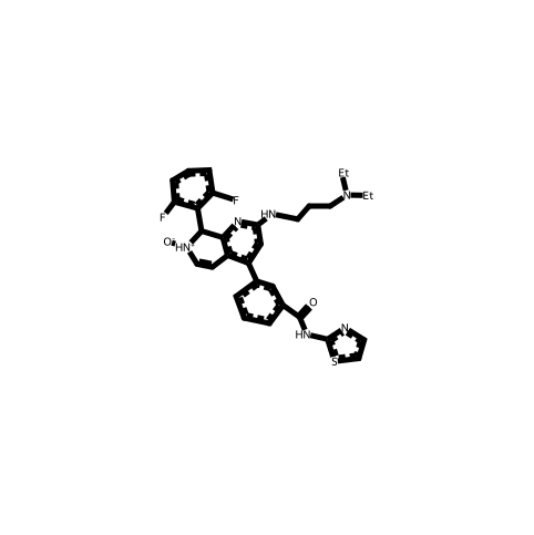 CCN(CC)CCCNc1cc(-c2cccc(C(=O)Nc3nccs3)c2)c2c(n1)C(c1c(F)cccc1F)[NH+]([O-])C=C2